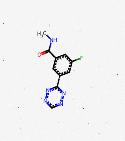 CNC(=O)c1cc(F)cc(-c2nncnn2)c1